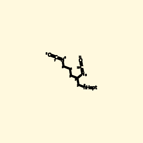 CCCCCCCCC(CCCN=C=O)N=C=O